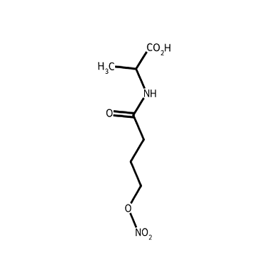 CC(NC(=O)CCCO[N+](=O)[O-])C(=O)O